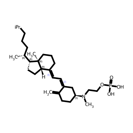 C=C1CC[C@H](N(C)CCOP(=O)(O)O)C/C1=C/C=C1\CCC[C@]2(C)[C@@H]([C@H](C)CCCC(C)C)CC[C@@H]12